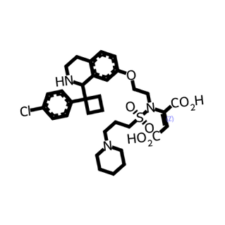 O=C(O)/C=C(/C(=O)O)N(CCOc1ccc2c(c1)C(C1(c3ccc(Cl)cc3)CCC1)NCC2)S(=O)(=O)CCCN1CCCCC1